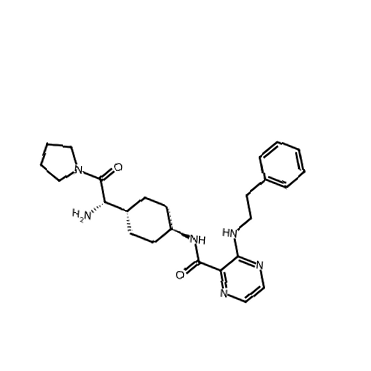 N[C@H](C(=O)N1CCCC1)[C@H]1CC[C@H](NC(=O)c2nccnc2NCCc2ccccc2)CC1